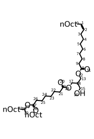 CCCCCCCC/C=C\CCCCCCCC(=O)OCC(CO)COC(=O)CCCCCCC(=O)OC(CCCCCCCC)CCCCCCCC